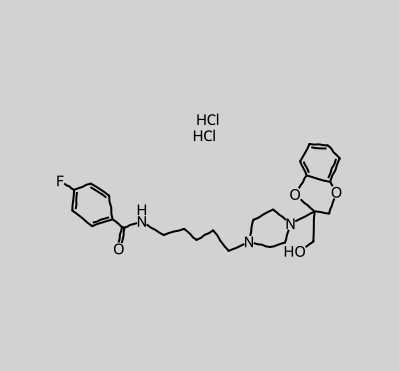 Cl.Cl.O=C(NCCCCCN1CCN(C2(CO)COc3ccccc3O2)CC1)c1ccc(F)cc1